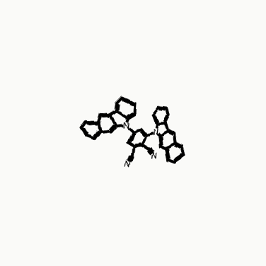 N#Cc1cc(-n2c3ccccc3c3cc4ccccc4cc32)cc(-n2c3ccccc3c3cc4ccccc4cc32)c1C#N